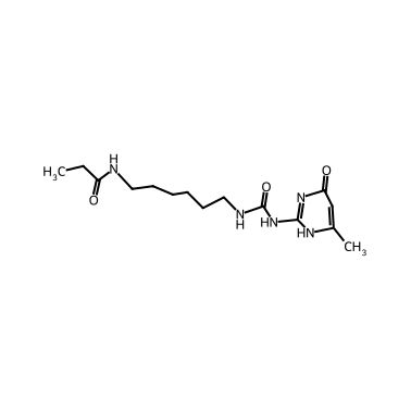 CCC(=O)NCCCCCCNC(=O)Nc1nc(=O)cc(C)[nH]1